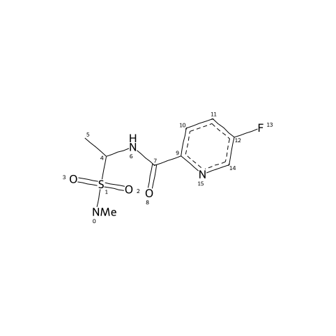 CNS(=O)(=O)C(C)NC(=O)c1ccc(F)cn1